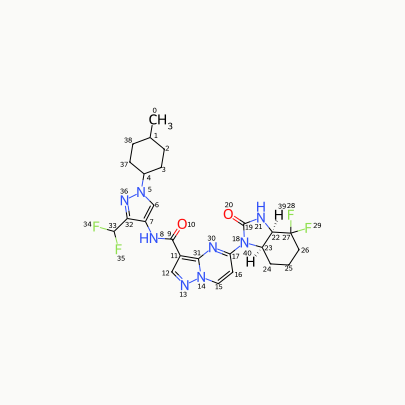 CC1CCC(n2cc(NC(=O)c3cnn4ccc(N5C(=O)N[C@@H]6[C@H]5CCCC6(F)F)nc34)c(C(F)F)n2)CC1